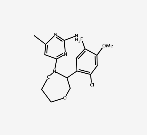 COc1cc(Cl)c(C2COCCCN2c2cc(C)nc(N)n2)cc1F